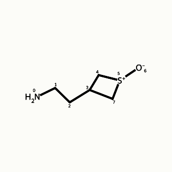 NCCC1C[S+]([O-])C1